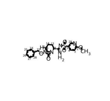 COc1ccc(S(=O)(=O)N=C(N)[C@@H]2CC[C@@H]3CN2C(=O)N3OCc2ccccc2)cn1